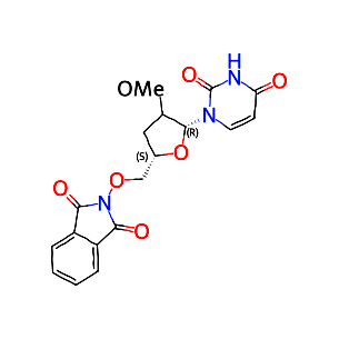 COC1C[C@@H](CON2C(=O)c3ccccc3C2=O)O[C@H]1n1ccc(=O)[nH]c1=O